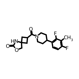 Cc1c(F)ccc(C2CCN(C(=O)C3CC4(COC(=O)N4)C3)CC2)c1F